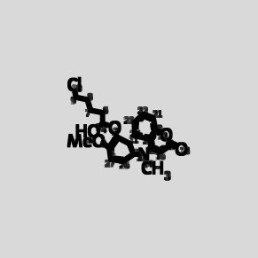 COC1=C(OC(O)CCCCCl)CC(N(C)c2cc(=O)oc3ccccc23)C=C1